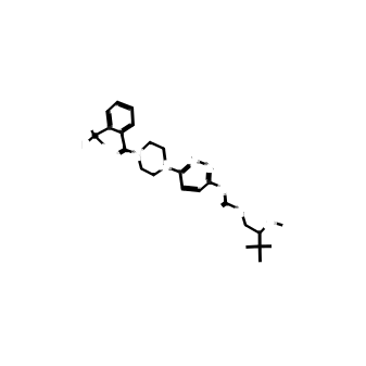 COC(CNC(=O)Oc1ccc(N2CCN(C(=O)c3ccccc3C(F)(F)F)CC2)nn1)C(C)(C)C